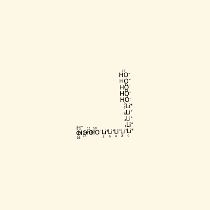 [Li+].[Li+].[Li+].[Li+].[Li+].[Li+].[Li+].[Li+].[Li+].[OH-].[OH-].[OH-].[OH-].[OH-].[OH-].[OH-].[OH-].[OH-]